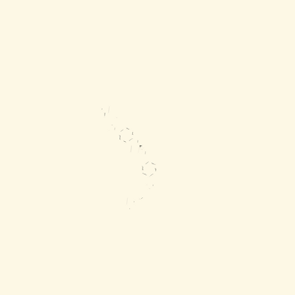 C=CCOc1ccc(OBOc2ccc(OCC=C)cc2)cc1